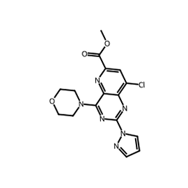 COC(=O)c1cc(Cl)c2nc(-n3cccn3)nc(N3CCOCC3)c2n1